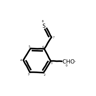 O=[C]c1ccccc1C=S